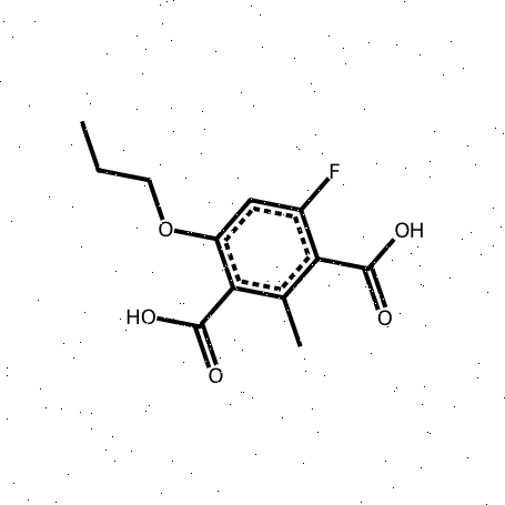 CCCOc1cc(F)c(C(=O)O)c(C)c1C(=O)O